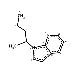 CCCC(C)n1ccc2cccnc21